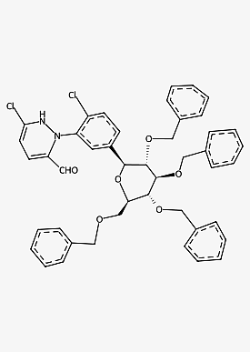 O=CC1=CC=C(Cl)NN1c1cc([C@@H]2O[C@H](COCc3ccccc3)[C@@H](OCc3ccccc3)[C@H](OCc3ccccc3)[C@H]2OCc2ccccc2)ccc1Cl